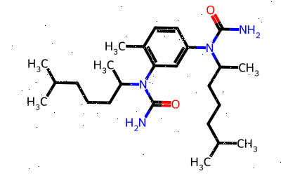 Cc1ccc(N(C(N)=O)C(C)CCCC(C)C)cc1N(C(N)=O)C(C)CCCC(C)C